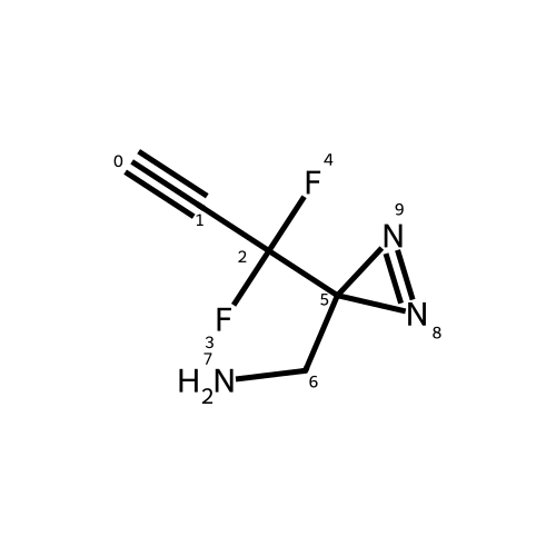 C#CC(F)(F)C1(CN)N=N1